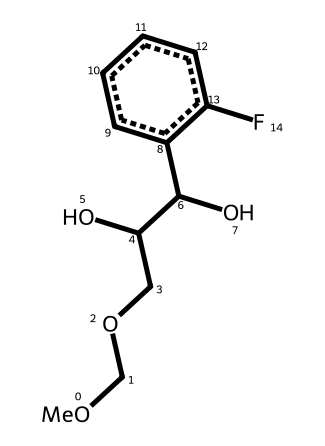 COCOCC(O)C(O)c1ccccc1F